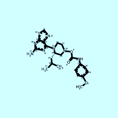 COc1ccc(NC(=O)ON2CCN(c3nc(N)nc4scnc34)[C@@H](CC(C)C)C2)cc1